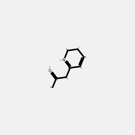 CC(=O)CC1=NCCC=C1